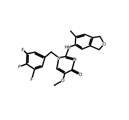 COc1cn(Cc2cc(F)c(F)c(F)c2)c(Nc2cc3c(cc2C)COC3)nc1=O